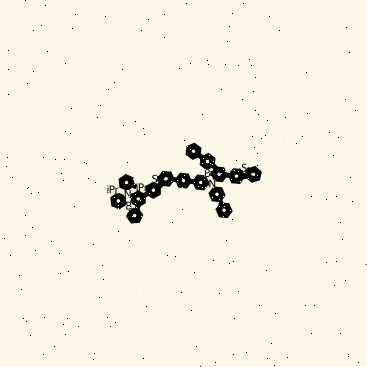 CC(C)c1ccccc1N1c2cc(-c3ccc4c(c3)sc3ccc(-c5ccc(-c6ccc7c(c6)B6c8cc(-c9ccccc9)ccc8-c8cc(-c9ccc%10c(c9)sc9ccccc9%10)cc(c86)N7c6ccc(-c7ccccc7)cc6)cc5)cc34)cc3c2B(c2ccccc2-3)c2cccc(C(C)C)c21